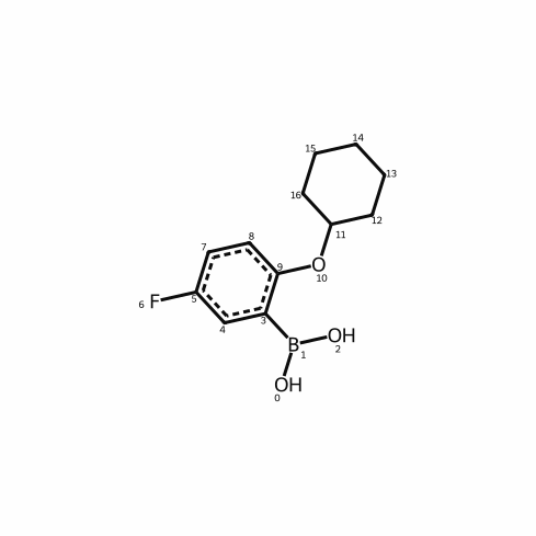 OB(O)c1cc(F)ccc1OC1CCCCC1